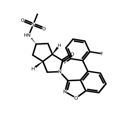 CS(=O)(=O)N[C@H]1C[C@H]2CN(c3noc4cccc(-c5c(F)cccc5F)c34)C(=O)[C@H]2C1